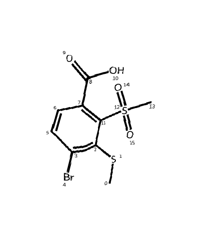 CSc1c(Br)ccc(C(=O)O)c1S(C)(=O)=O